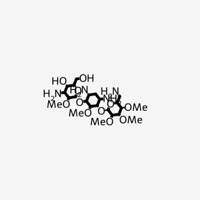 COC1C(N)[C@H](O)C(CO)O[C@@H]1OC1C(OC)[C@H](O[C@H]2OC(CN)[C@@H](OC)C(OC)C2OC)C(N)C[C@H]1N